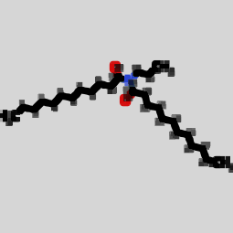 CCCCCCCCCCCC(=O)N(CCC)C(=O)CCCCCCCCCCC